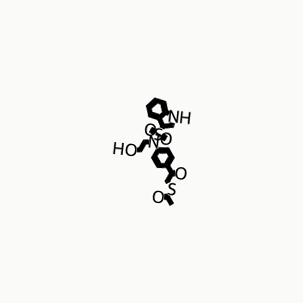 CC(=O)SCC(=O)c1ccc(N(CCO)S(=O)(=O)C2CNc3ccccc32)cc1